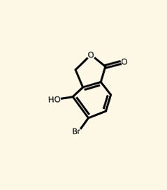 O=C1OCc2c1ccc(Br)c2O